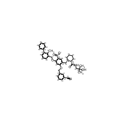 Cc1c(COc2cc(OCc3cccc(C#N)c3)c(CN3CCCC[C@H]3C(=O)NCC(C)(C)O)cc2[N+](=O)[O-])cccc1-c1ccccc1